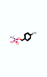 CC(=O)Oc1ccc(COP(C)(=O)O)cc1